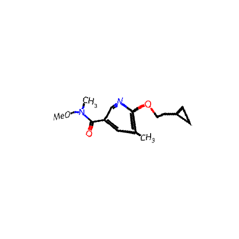 CON(C)C(=O)c1cnc(OCC2CC2)c(C)c1